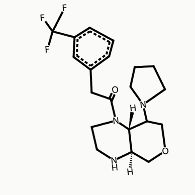 O=C(Cc1cccc(C(F)(F)F)c1)N1CCN[C@@H]2COCC(N3CCCC3)[C@H]21